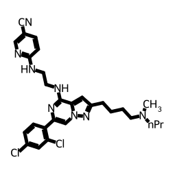 CCCN(C)CCCCc1cc2c(NCCNc3ccc(C#N)cn3)nc(-c3ccc(Cl)cc3Cl)cn2n1